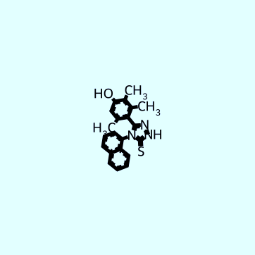 Cc1cc(O)c(C)c(C)c1-c1n[nH]c(=S)n1-c1cccc2ccccc12